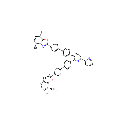 C=C(Oc1c(CC)ccc(CC)c1C)c1ccc(-c2ccc(-c3nc(-c4ccccn4)ccc3-c3ccc(-c4ccc(-c5nc6c(CC)ccc(CC)c6o5)cc4)cc3)cc2)cc1